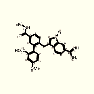 CCCNC(=O)c1ccc(Cc2cn(CC)c3cc(C(=N)N)ccc23)c(-c2ccc(OC)cc2C(=O)O)c1